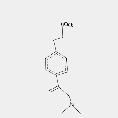 [C]=C(CN(C)C)c1ccc(CCCCCCCCCC)cc1